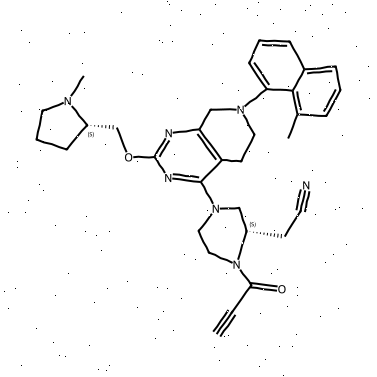 C#CC(=O)N1CCN(c2nc(OC[C@@H]3CCCN3C)nc3c2CCN(c2cccc4cccc(C)c24)C3)C[C@@H]1CC#N